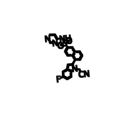 N#CCn1c(-c2cccc3cc(S(=O)(=O)Nc4ccncn4)ccc23)cc2cc(F)ccc21